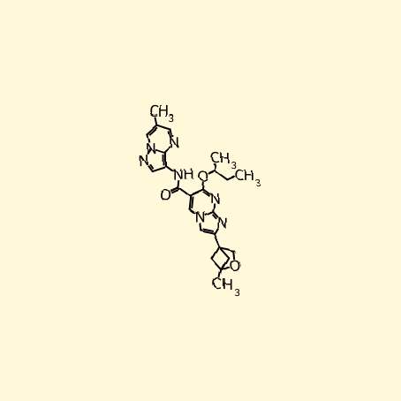 CC[C@H](C)Oc1nc2nc(C34COC(C)(C3)C4)cn2cc1C(=O)Nc1cnn2cc(C)cnc12